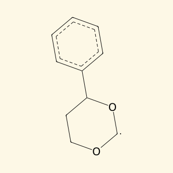 [CH]1OCCC(c2ccccc2)O1